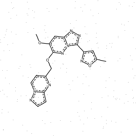 COc1cc2nnc(-c3cc(C)on3)n2nc1OCc1ccn2nccc2n1